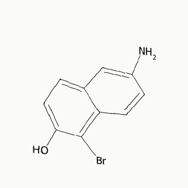 Nc1ccc2c(Br)c(O)ccc2c1